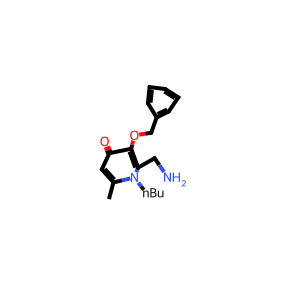 CCCCn1c(C)cc(=O)c(OCc2ccccc2)c1CN